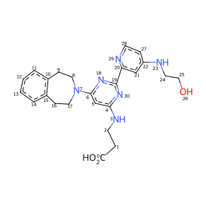 O=C(O)CCNc1cc(N2CCc3ccccc3CC2)nc(-c2cc(NCCO)ccn2)n1